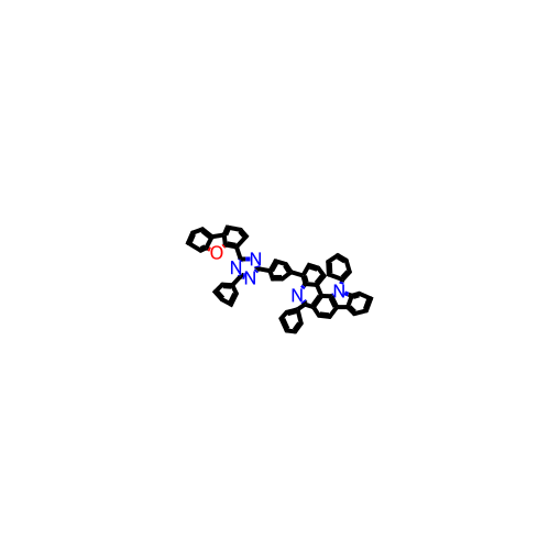 c1ccc(-c2nc(-c3ccc(-c4cccc5c4nc(-c4ccccc4)c4ccc6c7ccccc7n(-c7ccccc7)c6c45)cc3)nc(-c3cccc4c3oc3ccccc34)n2)cc1